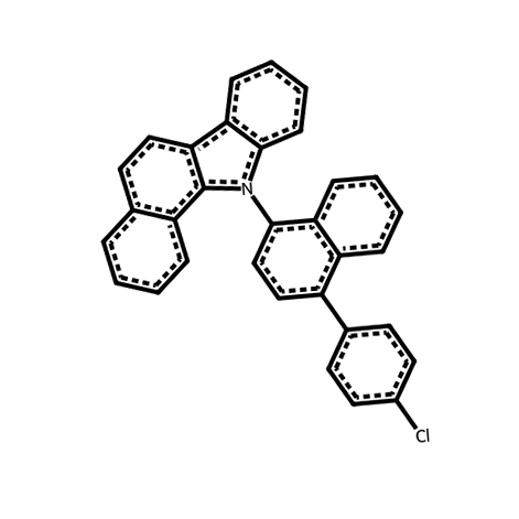 Clc1ccc(-c2ccc(-n3c4ccccc4c4ccc5ccccc5c43)c3ccccc23)cc1